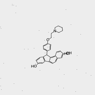 Cl.Oc1ccc2c(c1)-c1ccc3cc(O)ccc3c1C2c1ccc(OCCN2CCCCC2)cc1